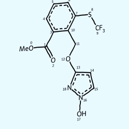 COC(=O)c1cccc(SC(F)(F)F)c1COc1ccn(O)n1